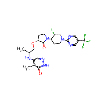 Cc1c(N[C@@H](C)CO[C@@H]2CCN([C@@H]3CCN(c4ncc(C(F)(F)F)cn4)C[C@@H]3F)C2=O)cn[nH]c1=O